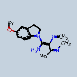 C=NC(=C(/N)N1CCc2cc(OC(C)C)ccc21)/C(=N\C)SC